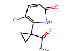 COC(=O)C1(c2[nH]c(=O)ccc2Cl)CC1